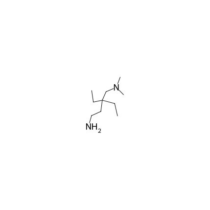 CCC(CC)(CCN)CN(C)C